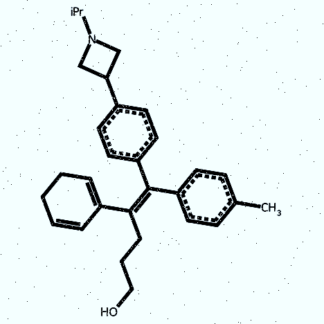 Cc1ccc(/C(=C(\CCCO)C2=CCCC=C2)c2ccc(C3CN(C(C)C)C3)cc2)cc1